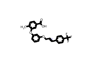 Cc1ccc(C(=O)O)cc1Oc1cccc(OC/C=C/c2ccc(C(F)(F)F)cc2)c1